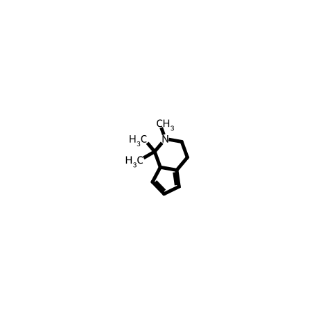 CN1CCC2=CC=CC2C1(C)C